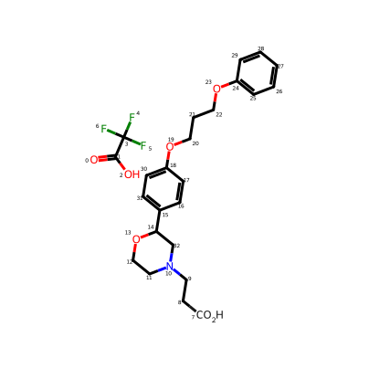 O=C(O)C(F)(F)F.O=C(O)CCN1CCOC(c2ccc(OCCCOc3ccccc3)cc2)C1